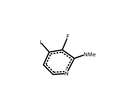 CNc1nccc(I)c1F